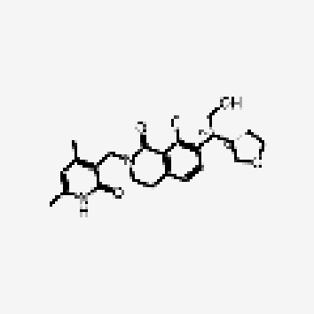 Cc1cc(C)c(CN2CCc3ccc([C@@H](CO)[C@@H]4CCOC4)c(Cl)c3C2=O)c(=O)[nH]1